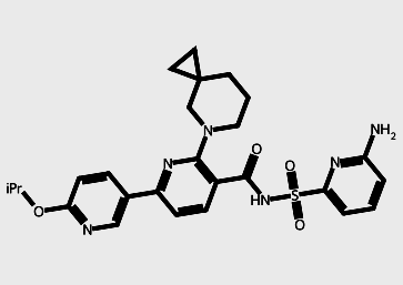 CC(C)Oc1ccc(-c2ccc(C(=O)NS(=O)(=O)c3cccc(N)n3)c(N3CCCC4(CC4)C3)n2)cn1